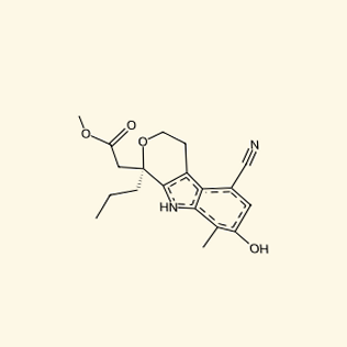 CCC[C@]1(CC(=O)OC)OCCc2c1[nH]c1c(C)c(O)cc(C#N)c21